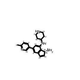 Cc1ccc(-c2cc3c(c(NC4CCNCC4)c2)[C@H](N)C=C3)cn1